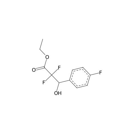 CCOC(=O)C(F)(F)C(O)c1ccc(F)cc1